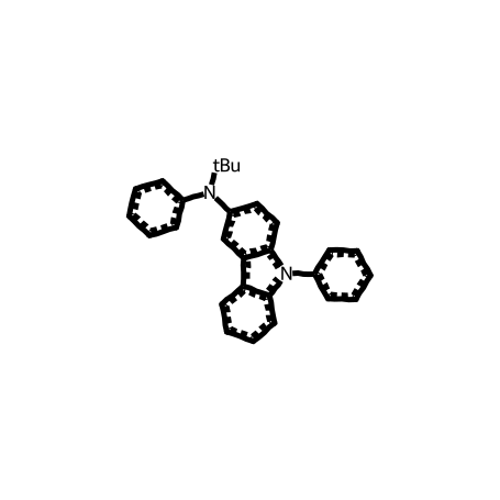 CC(C)(C)N(c1ccccc1)c1ccc2c(c1)c1ccccc1n2-c1ccccc1